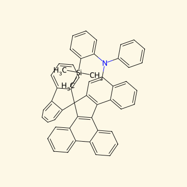 C[Si](C)(C)c1ccccc1N(c1ccccc1)c1cc2c(c3ccccc13)-c1c(c3ccccc3c3ccccc13)C21c2ccccc2-c2ccccc21